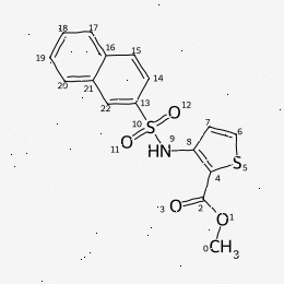 COC(=O)c1sccc1NS(=O)(=O)c1ccc2ccccc2c1